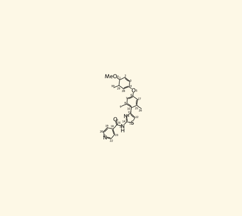 COC1C=CC(Oc2cc(C)c(-c3csc(NC(=O)c4ccncc4)n3)c(C)c2)=CC1C